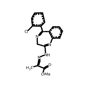 COC(=O)C(C)=NNC1=Nc2ccccc2C(c2ccccc2Cl)=NC1